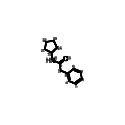 O=C(Cc1ccccc1)NC1CCCC1